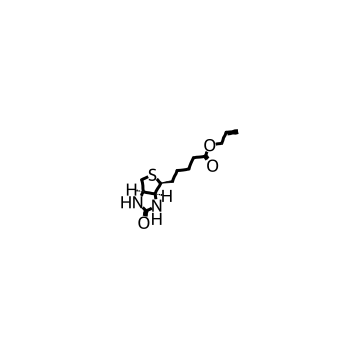 C=CCOC(=O)CCCC[C@@H]1SC[C@@H]2NC(=O)N[C@@H]21